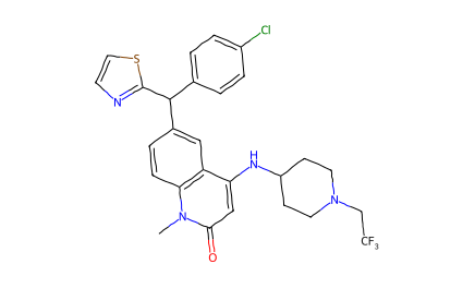 Cn1c(=O)cc(NC2CCN(CC(F)(F)F)CC2)c2cc(C(c3ccc(Cl)cc3)c3nccs3)ccc21